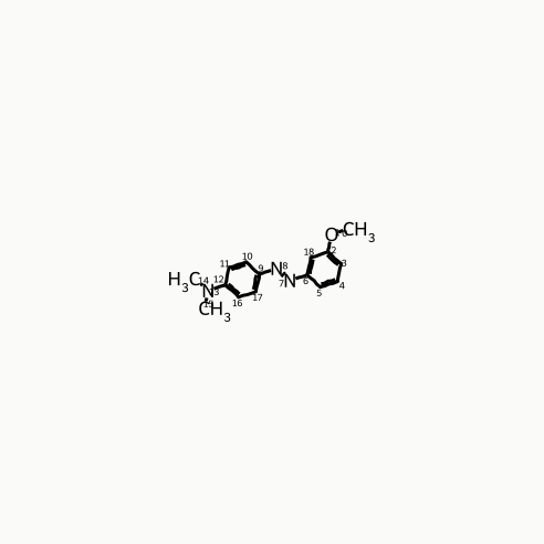 COc1cccc(N=Nc2ccc(N(C)C)cc2)c1